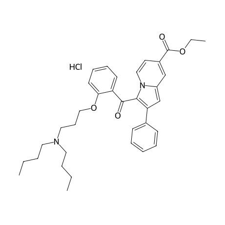 CCCCN(CCCC)CCCOc1ccccc1C(=O)c1c(-c2ccccc2)cc2cc(C(=O)OCC)ccn12.Cl